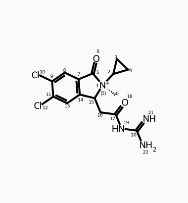 C[N@@+]1(C2CC2)C(=O)c2cc(Cl)c(Cl)cc2C1CC(=O)NC(=N)N